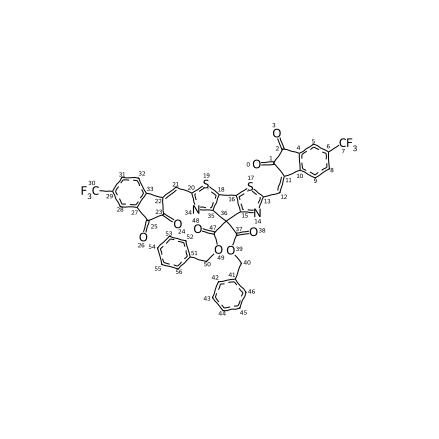 O=C1C(=O)c2cc(C(F)(F)F)ccc2/C1=C/c1nc2c(s1)-c1sc(/C=C3\C(=O)C(=O)c4cc(C(F)(F)F)ccc43)nc1C2(C(=O)OCc1ccccc1)C(=O)OCc1ccccc1